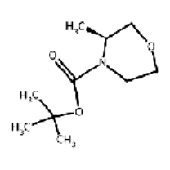 C[C@H]1COCCN1C(=O)OC(C)(C)C